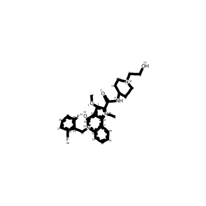 COc1c(C(=O)NC2CCN(CCO)CC2)n(C)c2c1c(=O)n(Cc1c(F)cccc1F)c1ccccc21